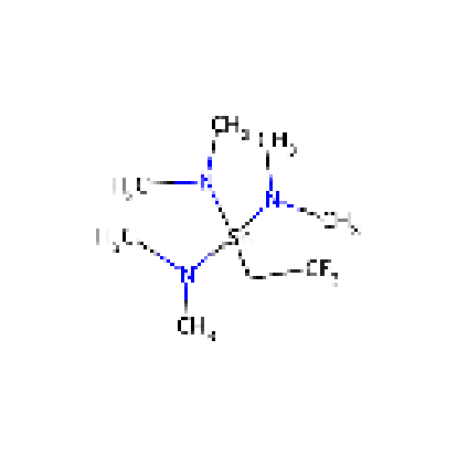 C[N](C)[Sn]([CH2]C(F)(F)F)([N](C)C)[N](C)C